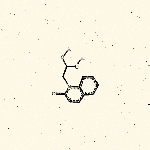 CCOC(Cn1c(=O)ccc2ccccc21)OCC